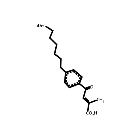 CCCCCCCCCCCCCCCCc1ccc(C(=O)/C=C(\C)C(=O)O)cc1